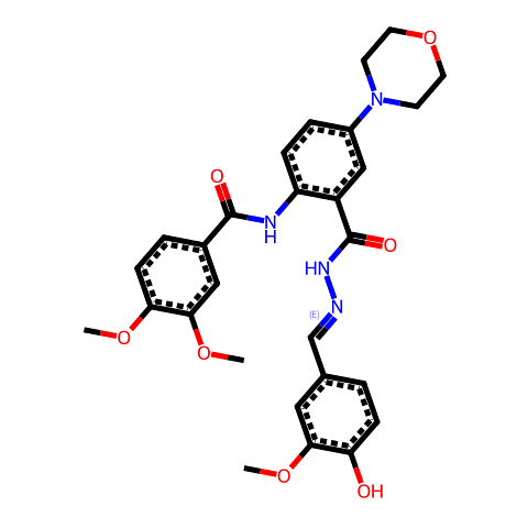 COc1cc(/C=N/NC(=O)c2cc(N3CCOCC3)ccc2NC(=O)c2ccc(OC)c(OC)c2)ccc1O